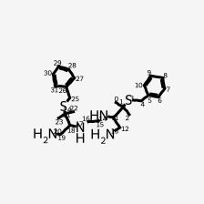 CC(C)(SCc1ccccc1)C(CN)NCCNC(CN)C(C)(C)SCc1ccccc1